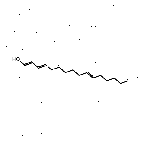 CCCCCC=CCCCCCC=CC=CO